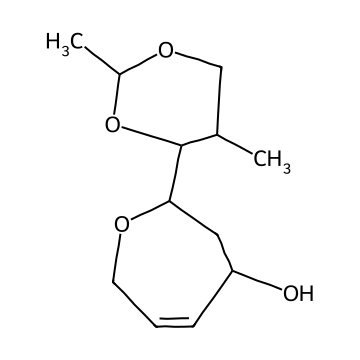 CC1OCC(C)C(C2CC(O)C=CCO2)O1